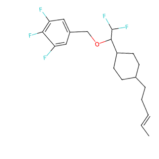 C/C=C/CCC1CCC(C(OCc2cc(F)c(F)c(F)c2)C(F)F)CC1